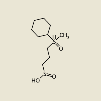 C[SH](=O)(CCCS(=O)O)C1CCCCC1